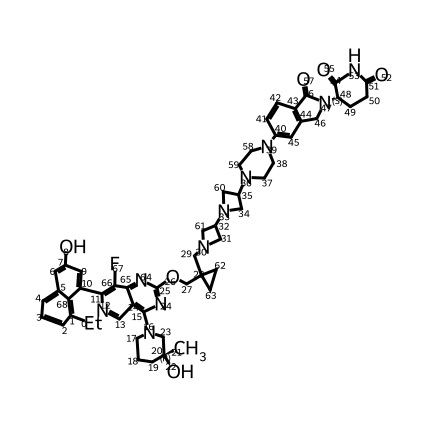 CCc1cccc2cc(O)cc(-c3ncc4c(N5CCC[C@@](C)(O)C5)nc(OCC5(CN6CC(N7CC(N8CCN(c9ccc%10c(c9)CN([C@H]9CCC(=O)NC9=O)C%10=O)CC8)C7)C6)CC5)nc4c3F)c12